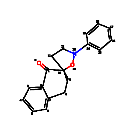 O=C1c2ccccc2CC[C@]12CCN(c1ccccc1)O2